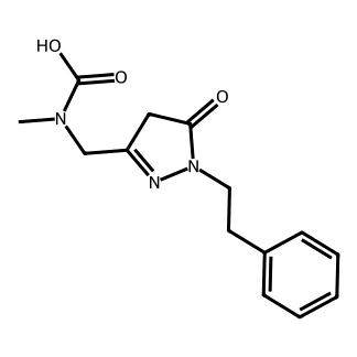 CN(CC1=NN(CCc2ccccc2)C(=O)C1)C(=O)O